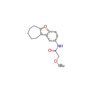 CC(C)(C)OCC(=O)Nc1ccc2oc3c(c2c1)CCCCC3